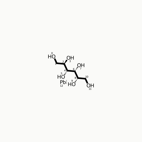 OC[C@@H](O)[C@@H](O)[C@H](O)[C@@H](O)CO.[Pb]